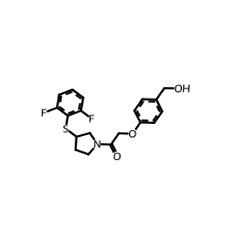 O=C(COc1ccc(CO)cc1)N1CCC(Sc2c(F)cccc2F)C1